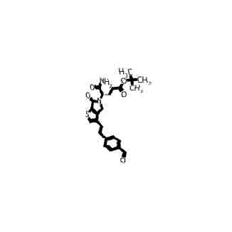 CC(C)(C)OC(=O)CC[C@@H](C(N)=O)N1Cc2c(/C=C/c3ccc(C=O)cc3)csc2C1=O